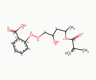 C=C(C)C(=O)OC(C)CC(O)COOc1ccccc1C(=O)O